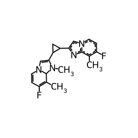 CC1=C(F)C=CN2C=C(C3CC3c3cn4ccc(F)c(C)c4n3)N(C)C12